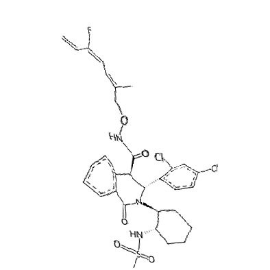 C=C/C(F)=C\C=C(/C)CONC(=O)[C@@H]1c2ccccc2C(=O)N([C@H]2CCCC[C@@H]2NS(C)(=O)=O)[C@H]1c1ccc(Cl)cc1Cl